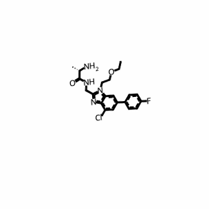 CCOCCn1c(CNC(=O)[C@H](C)N)nc2c(Cl)cc(-c3ccc(F)cc3)cc21